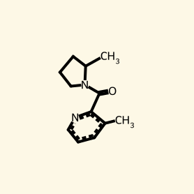 Cc1cccnc1C(=O)N1CCCC1C